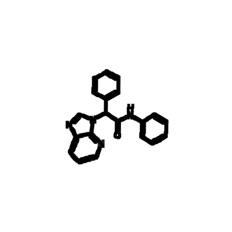 O=C(Nc1ccccc1)C(c1ccccc1)n1cnc2cccnc21